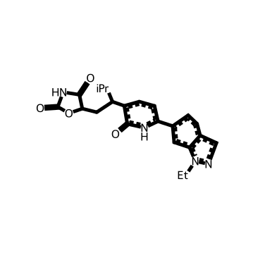 CCn1ncc2ccc(-c3ccc(C(CC4OC(=O)NC4=O)C(C)C)c(=O)[nH]3)cc21